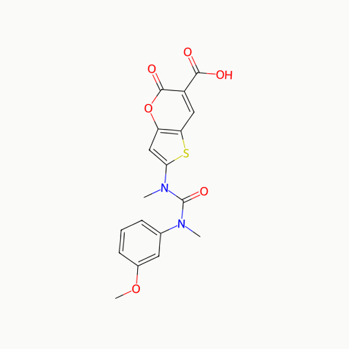 COc1cccc(N(C)C(=O)N(C)c2cc3oc(=O)c(C(=O)O)cc3s2)c1